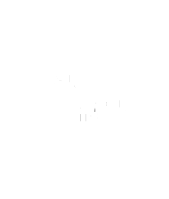 CC(=O)[C@H]1CC[C@H]2[C@@H](C)CCC[C@]12C